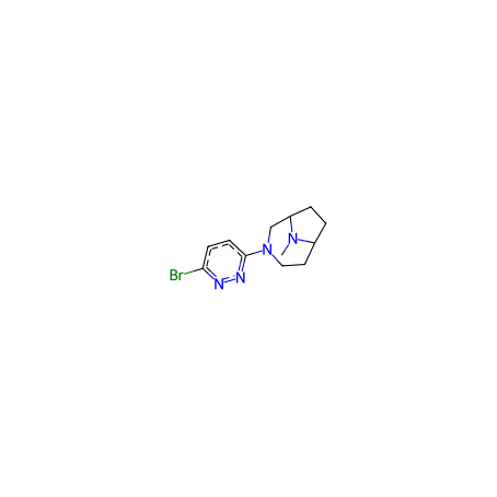 CN1C2CCC1CN(c1ccc(Br)nn1)CC2